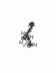 Cc1nc[nH]c1CSCCN/C(=C\[N+](=O)[O-])NCCSCCc1ccccn1